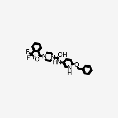 O=C(c1ccccc1C(F)(F)F)N1CCN(C(O)NC2=CNC(OCc3ccccc3)C=C2)CC1